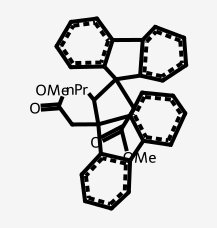 CCCC(C1(CC(=O)OC)c2ccccc2-c2ccccc21)C1(CC(=O)OC)c2ccccc2-c2ccccc21